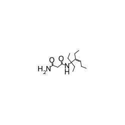 CCC=C(CC)C(CC)(CC)NC(=O)CC(N)=O